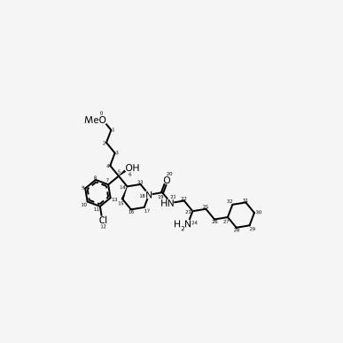 COCCCC[C@@](O)(c1cccc(Cl)c1)[C@@H]1CCCN(C(=O)NCC(N)CCC2CCCCC2)C1